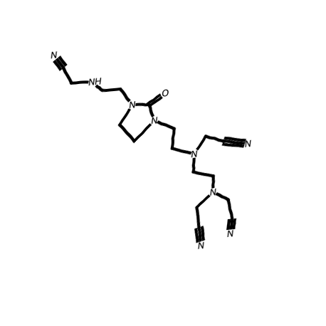 N#CCNCCN1CCN(CCN(CC#N)CCN(CC#N)CC#N)C1=O